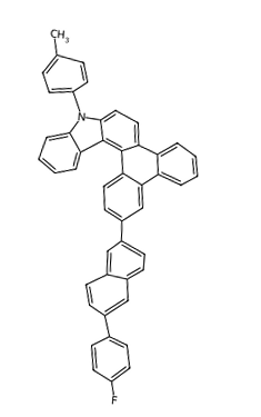 Cc1ccc(-n2c3ccccc3c3c4c(ccc32)c2ccccc2c2cc(-c3ccc5cc(-c6ccc(F)cc6)ccc5c3)ccc24)cc1